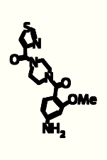 COc1cc(N)ccc1C(=O)N1CCN(C(=O)c2cscn2)CC1